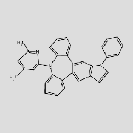 Cc1cc(C)nc(N2c3ccccc3-c3cc4ccn(-c5ccccc5)c4cc3-c3ccccc32)c1